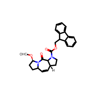 O=CO[C@@H]1CCC2C=C[C@H]3CCN(C(=O)OCC4c5ccccc5-c5ccccc54)C3C(=O)N21